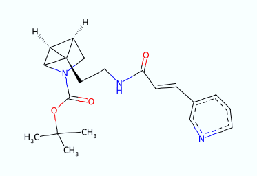 CC(C)(C)OC(=O)N1C[C@@H]2[C@@H]3C1[C@@]23CCNC(=O)/C=C/c1cccnc1